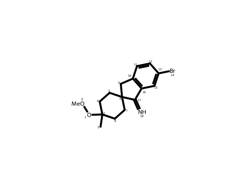 COOC1(C)CCC2(CC1)Cc1ccc(Br)cc1C2=N